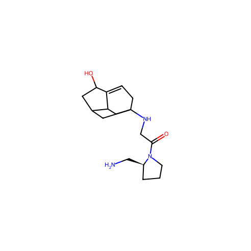 NC[C@@H]1CCCN1C(=O)CNC12CC=C3C(O)CC(C1)C3C2